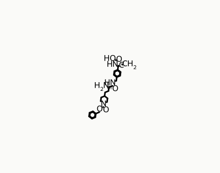 C=C=C(NC(=O)O)c1ccc(CNC(=O)[C@@H](N)CCC2CCN(C(=O)OCc3ccccc3)CC2)cc1